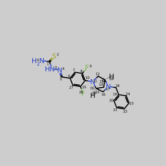 NC(=S)NN=Cc1cc(F)c(N2C[C@@H]3C[C@H]2CN3Cc2ccccc2)c(F)c1